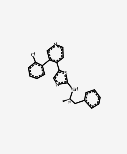 C[C@H](Cc1ccccc1)Nc1ncc(-c2ccncc2-c2ccccc2Cl)s1